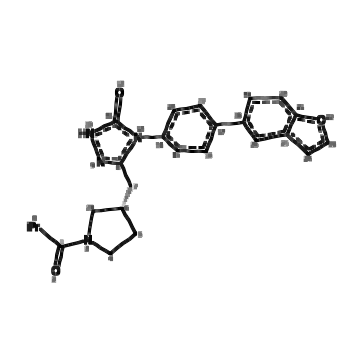 CC(C)C(=O)N1CC[C@@H](Cc2n[nH]c(=O)n2-c2ccc(-c3ccc4occc4c3)cc2)C1